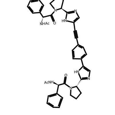 CC(=O)N[C@@H](C(=O)N1CCC[C@H]1c1ncc(C#Cc2ccc(-c3cnc([C@@H]4CCCN4C(=O)[C@H](NC(C)=O)c4ccccc4)[nH]3)cc2)[nH]1)c1ccccc1